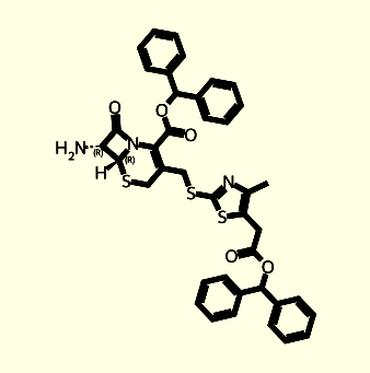 Cc1nc(SCC2=C(C(=O)OC(c3ccccc3)c3ccccc3)N3C(=O)[C@@H](N)[C@H]3SC2)sc1CC(=O)OC(c1ccccc1)c1ccccc1